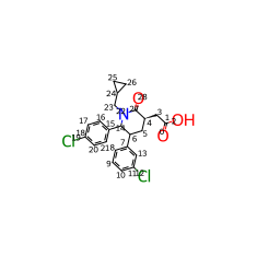 O=C(O)C[C@H]1CC(c2cccc(Cl)c2)C(c2ccc(Cl)cc2)N(CC2CC2)C1=O